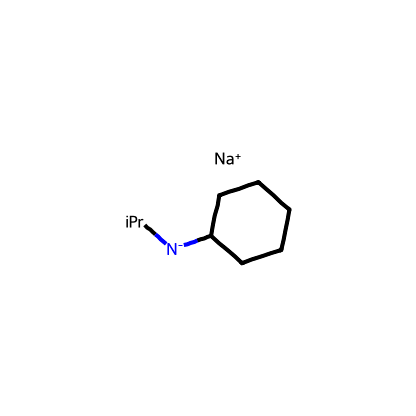 CC(C)[N-]C1CCCCC1.[Na+]